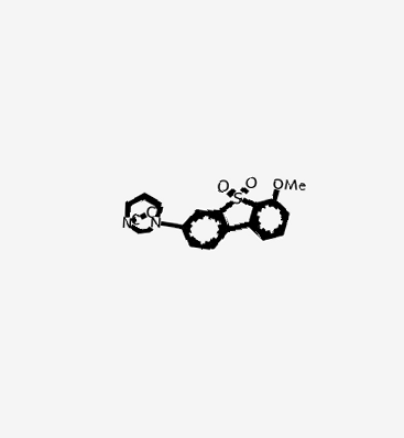 COc1cccc2c1S(=O)(=O)c1cc(N3CCN4CCC3CC4)ccc1-2